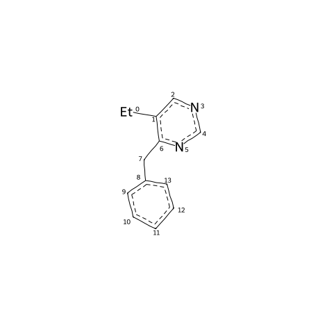 CCc1cncnc1Cc1ccccc1